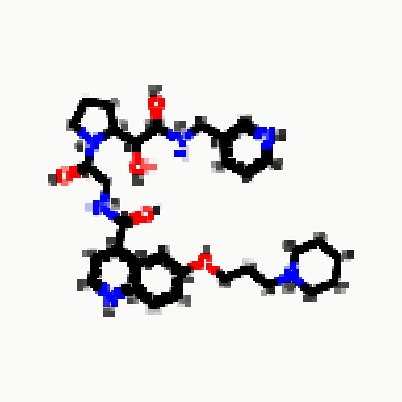 O=C(NCC(=O)N1CCCC1C(O)C(=O)NCc1cccnc1)c1ccnc2ccc(OCCCN3CCCCC3)cc12